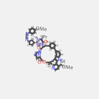 CCn1c(-c2cnccc2COC)c2c3cc(ccc31)-c1cccc(c1)C[C@H](NC(=O)[C@H](C(C)C)N(C)C(=O)[C@@H]1CC[C@@H](N=C=Nc3ccc(OC)cc3)C1)C(=O)N1CCC[C@H](N1)C(=O)OCC(C)(C)C2